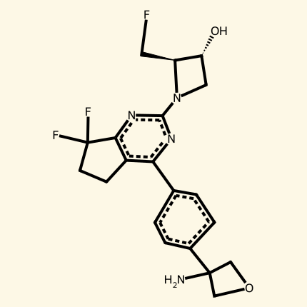 NC1(c2ccc(-c3nc(N4C[C@@H](O)[C@@H]4CF)nc4c3CCC4(F)F)cc2)COC1